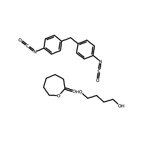 O=C1CCCCCO1.O=C=Nc1ccc(Cc2ccc(N=C=O)cc2)cc1.OCCCCO